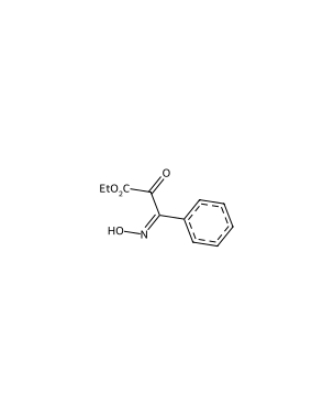 CCOC(=O)C(=O)C(=NO)c1ccccc1